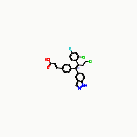 O=C(O)C=Cc1ccc(/C(=C(/CCCl)c2ccc(F)cc2Cl)c2ccc3[nH]ncc3c2)cc1